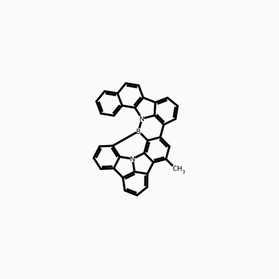 Cc1cc2c3c4c1c1cccc5c6cccc(c6n4c51)B3n1c3c-2cccc3c2ccc3ccccc3c21